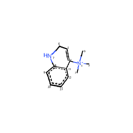 C[N+](C)(C)C1=CCNc2ccccc21